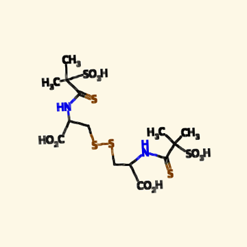 CC(C)(C(=S)NC(CSSCC(NC(=S)C(C)(C)S(=O)(=O)O)C(=O)O)C(=O)O)S(=O)(=O)O